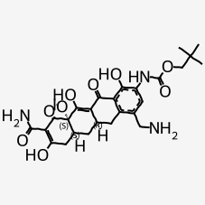 CC(C)(C)COC(=O)Nc1cc(CN)c2c(c1O)C(=O)C1=C(O)[C@]3(OI)C(=O)C(C(N)=O)=C(O)C[C@@H]3C[C@@H]1C2